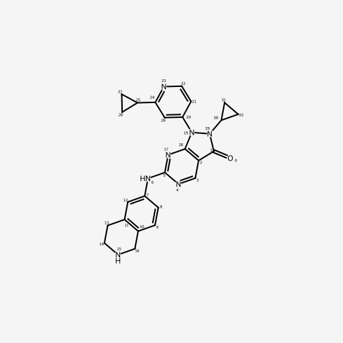 O=c1c2cnc(Nc3ccc4c(c3)CCNC4)nc2n(-c2ccnc(C3CC3)c2)n1C1CC1